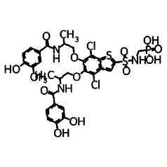 CC(COc1c(OCC(C)NC(=O)c2ccc(O)c(O)c2)c(Cl)c2sc(S(=O)(=O)NCP(=O)(O)O)cc2c1Cl)NC(=O)c1ccc(O)c(O)c1